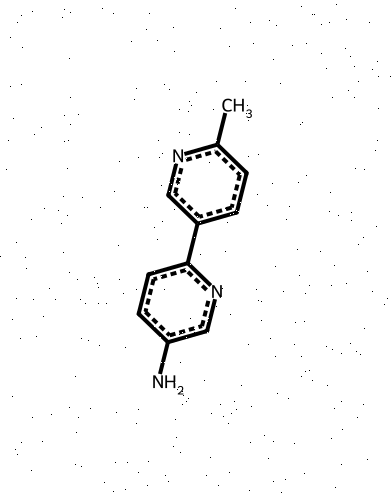 Cc1ccc(-c2ccc(N)cn2)cn1